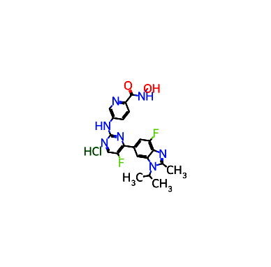 Cc1nc2c(F)cc(-c3nc(Nc4ccc(C(=O)NO)nc4)ncc3F)cc2n1C(C)C.Cl